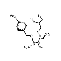 C=C[C@@H](OCC(OCC)OCC)[C@@H](CCCC)[C@H](C)OCc1ccc(OC)cc1